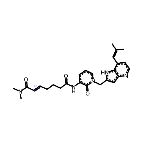 CC(C)=Cc1ccnc2cc(Cn3cccc(NC(=O)CCC/C=C/C(=O)N(C)C)c3=O)[nH]c12